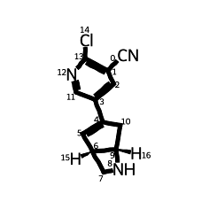 N#Cc1cc(C2=C[C@H]3CN[C@H]3C2)cnc1Cl